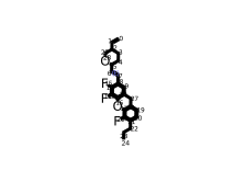 C=CC1CCC(/C=C/c2cc3c(c(F)c2F)Oc2c(ccc(CCC)c2F)C3)OC1